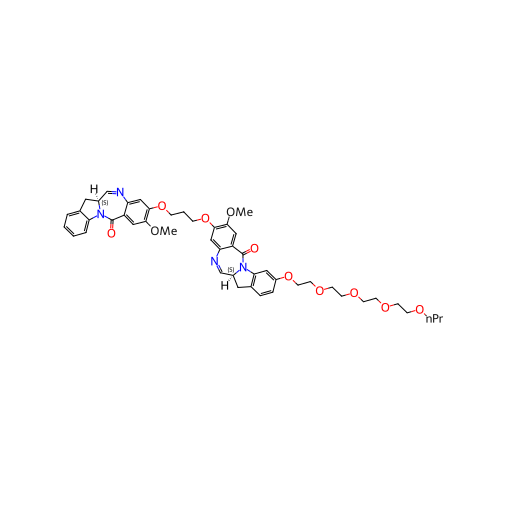 CCCOCCOCCOCCOCCOc1ccc2c(c1)N1C(=O)c3cc(OC)c(OCCCOc4cc5c(cc4OC)C(=O)N4c6ccccc6C[C@H]4C=N5)cc3N=C[C@@H]1C2